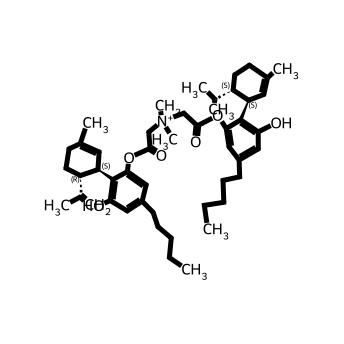 C=C(C)[C@@H]1CCC(C)=C[C@H]1c1c(O)cc(CCCCC)cc1OC(=O)C[N+](C)(C)CC(=O)Oc1cc(CCCCC)cc(O)c1[C@@H]1C=C(C)CC[C@H]1C(C)C